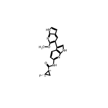 COc1nc2[nH]ccc2cc1-c1c[nH]c2nc(NC(=O)[C@H]3C[C@@H]3F)ccc12